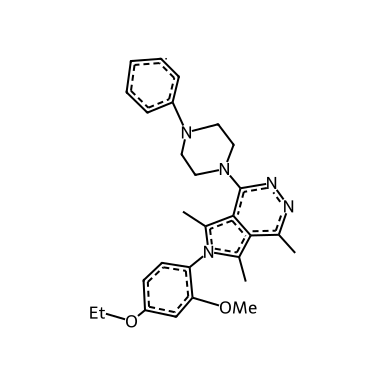 CCOc1ccc(-n2c(C)c3c(C)nnc(N4CCN(c5c[c]ccc5)CC4)c3c2C)c(OC)c1